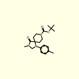 CN1CN(c2ccc(I)cc2)C2(CCN(C(=O)OC(C)(C)C)CC2)C1=O